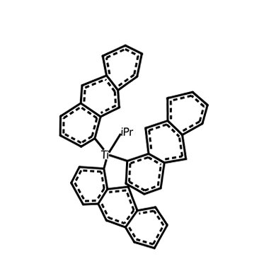 C[CH](C)[Ti]([c]1cccc2cc3ccccc3cc12)([c]1cccc2cc3ccccc3cc12)[c]1cccc2cc3ccccc3cc12